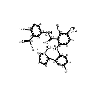 Cn1nccc1-c1cc(F)ccc1Oc1ccc(C(F)(F)F)c(F)c1C(=O)Nc1ccc(F)c(C(N)=O)c1